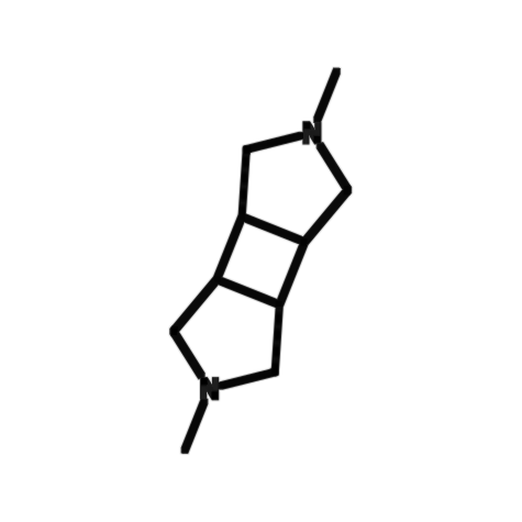 CN1CC2C(C1)C1CN(C)CC21